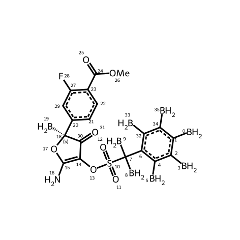 Bc1c(B)c(B)c(C(B)(B)S(=O)(=O)OC2=C(N)O[C@@](B)(c3ccc(C(=O)OC)c(F)c3)C2=O)c(B)c1B